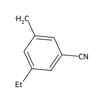 [CH2]c1cc(C#N)cc(CC)c1